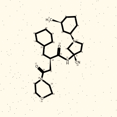 C[C@H]1CCC[C@@H](N2CC[C@](C#N)(NC(=O)[C@@H](CC(=O)N3CCOCC3)CC3CCCCC3)C2)C1